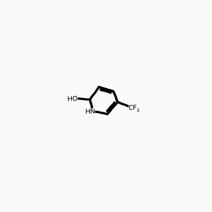 OC1C=CC(C(F)(F)F)=CN1